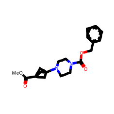 COC(=O)C12CC(N3CCN(C(=O)OCc4ccccc4)CC3)(C1)C2